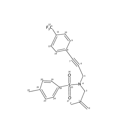 C=C(C)CN(CC#Cc1ccc(C(F)(F)F)cc1)S(=O)(=O)c1ccc(C)cc1